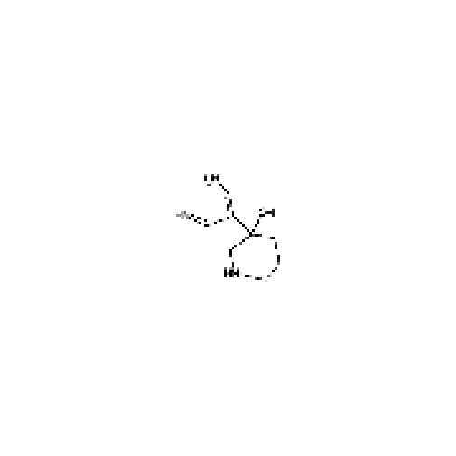 N=C/C(=C\N)C1(O)CCCNC1